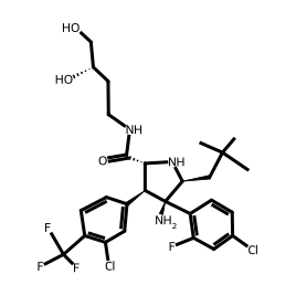 CC(C)(C)C[C@@H]1N[C@@H](C(=O)NCC[C@H](O)CO)[C@H](c2ccc(C(F)(F)F)c(Cl)c2)[C@@]1(N)c1ccc(Cl)cc1F